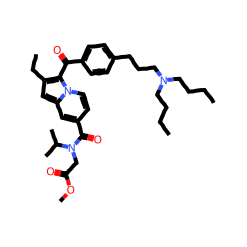 CCCCN(CCCC)CCCc1ccc(C(=O)c2c(CC)cc3cc(C(=O)N(CC(=O)OC)C(C)C)ccn23)cc1